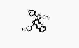 Cc1nc(C2CCOCC2)n2nc(C3CCNC3)n(Cc3ccccc3)c(=O)c12